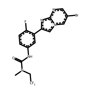 CN(CC(F)(F)F)C(=O)Nc1ccc(F)c(-c2cn3cc(Br)cnc3n2)c1